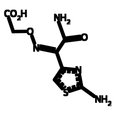 NC(=O)/C(=N\OCC(=O)O)c1csc(N)n1